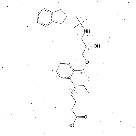 CC/C(=C\CCC(=O)O)c1ccccc1[C@@H](C)OC[C@@H](O)CNC(C)(C)CC1Cc2ccccc2C1